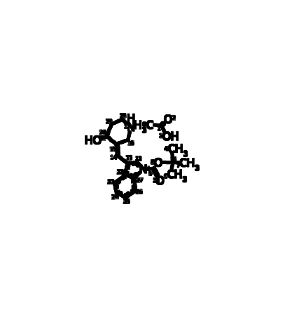 CC(=O)O.CC(C)(C)OC(=O)n1cc(C=C2CNCCC2O)c2ccccc21